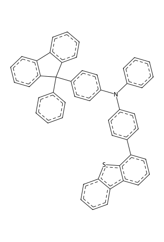 c1ccc(N(c2ccc(-c3cccc4c3sc3ccccc34)cc2)c2ccc(C3(c4ccccc4)c4ccccc4-c4ccccc43)cc2)cc1